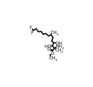 CCOC(=O)C(C)(N)C(O)C(O)CCC(C)CCCCCCC(F)F